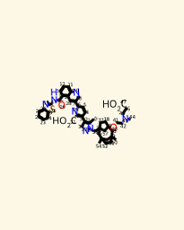 Cc1c(-c2ccc(-c3cnc4cccc(C(=O)Nc5nc6ccccc6s5)c4c3)nc2C(=O)O)cnn1CC12CCC(OCCN(C)CCC(=O)O)(CC3(C)CCC(C)(C3)C1)C2